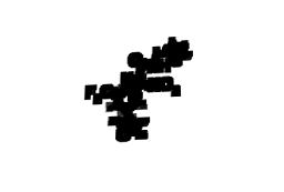 O=C(NCc1cccs1)c1nc2c(C(F)(F)F)cc(-c3ccoc3)cn2c1[N+](=O)[O-]